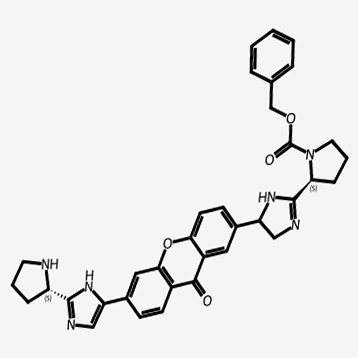 O=C(OCc1ccccc1)N1CCC[C@H]1C1=NCC(c2ccc3oc4cc(-c5cnc([C@@H]6CCCN6)[nH]5)ccc4c(=O)c3c2)N1